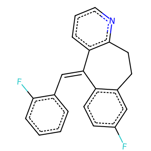 Fc1ccc2c(c1)CCc1ncccc1/C2=C/c1ccccc1F